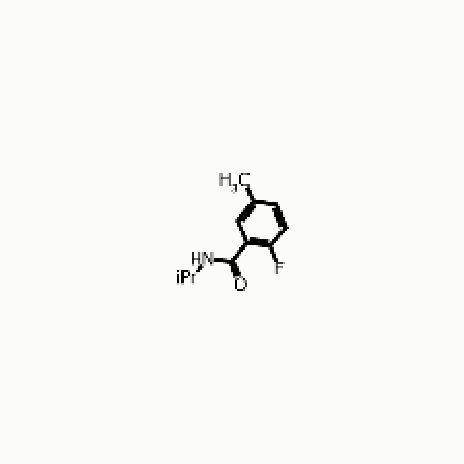 Cc1ccc(F)c(C(=O)NC(C)C)c1